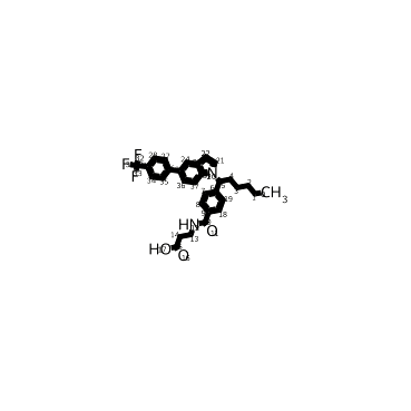 CCCCCC(c1ccc(C(=O)NCCC(=O)O)cc1)n1ccc2cc(-c3ccc(C(F)(F)F)cc3)ccc21